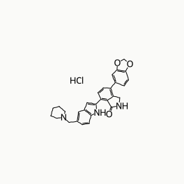 Cl.O=C1NCc2c(-c3ccc4c(c3)OCO4)ccc(-c3cc4cc(CN5CCCCC5)ccc4[nH]3)c21